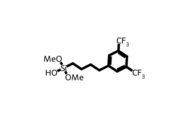 CO[Si](O)(CCCCc1cc(C(F)(F)F)cc(C(F)(F)F)c1)OC